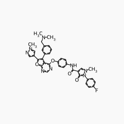 CN(C)Cc1cccc(-c2c(-c3cnn(C)c3)oc3ncnc(Oc4ccc(NC(=O)c5cn(C)n(-c6ccc(F)cc6)c5=O)cc4)c23)c1